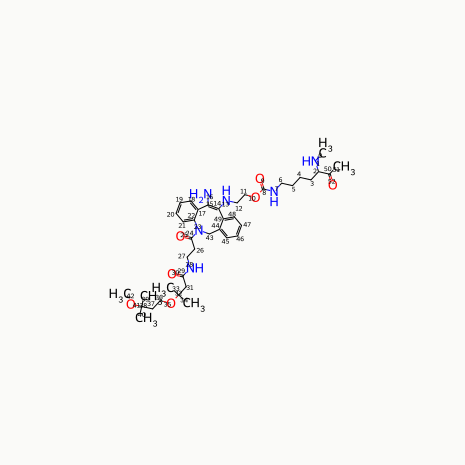 CNC(CCCCNC(=O)OCCN/C1=C(\N)c2ccccc2N(C(=O)CCNC(=O)CC(C)(C)OCCC(C)(C)OC)Cc2ccccc21)C(C)=O